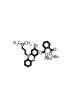 CC(=O)c1ccc2c(c1)N(CCCN(C)C)c1ccccc1S2.CCCCOC(=O)c1ccccc1C(=O)OCCCC